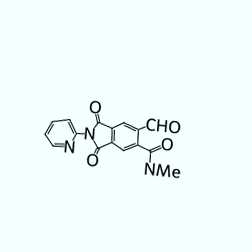 CNC(=O)c1cc2c(cc1C=O)C(=O)N(c1ccccn1)C2=O